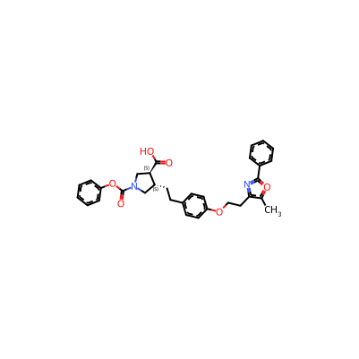 Cc1oc(-c2ccccc2)nc1CCOc1ccc(CC[C@@H]2CN(C(=O)Oc3ccccc3)C[C@H]2C(=O)O)cc1